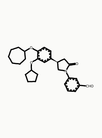 O=Cc1cccc(N2C[C@@H](c3ccc(OC4CCCCCC4)c(OC4CCCC4)c3)CC2=O)c1